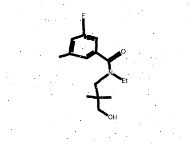 CCN(CC(C)(C)CO)C(=O)c1cc(C)cc(F)c1